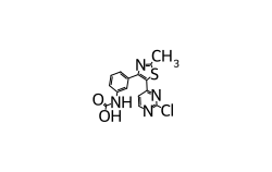 Cc1nc(-c2cccc(NC(=O)O)c2)c(-c2ccnc(Cl)n2)s1